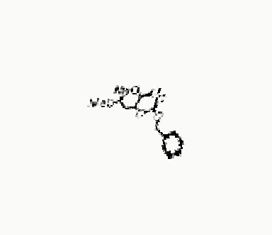 COC(=O)CC(OC(=O)OCc1ccccc1)C(=O)OC